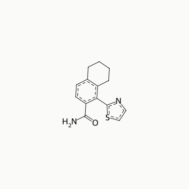 NC(=O)c1ccc2c(c1-c1nccs1)CCCC2